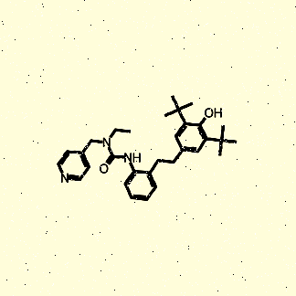 CCN(Cc1ccncc1)C(=O)Nc1ccccc1CCc1cc(C(C)(C)C)c(O)c(C(C)(C)C)c1